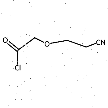 N#CCCOCC(=O)Cl